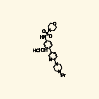 CC(C)N1CCN(c2ccc(-c3ccc(NS(=O)(=O)N4CCOCC4)cc3)cn2)CC1.Cl.Cl